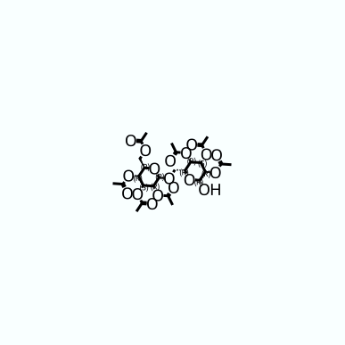 CC(=O)OC[C@H]1O[C@@H](OC[C@H]2O[C@@H](O)[C@H](OC(C)=O)[C@@H](OC(C)=O)[C@@H]2OC(C)=O)[C@H](OC(C)=O)[C@@H](OC(C)=O)[C@@H]1OC(C)=O